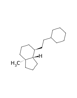 C[C@]12CCC[C@@H](CCC3CCCCC3)[C@@H]1CCC2